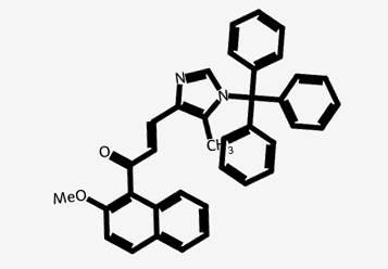 COc1ccc2ccccc2c1C(=O)/C=C/c1ncn(C(c2ccccc2)(c2ccccc2)c2ccccc2)c1C